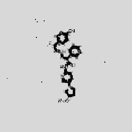 CO[C@@H]1CCN(c2ccc(NC(=O)C(CNC[C@H](C)c3ccc(C#N)cc3)c3ccccc3)nc2)C1